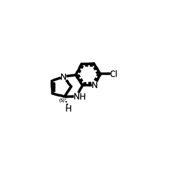 Clc1ccc2c(n1)N[C@H]1C=CN2C1